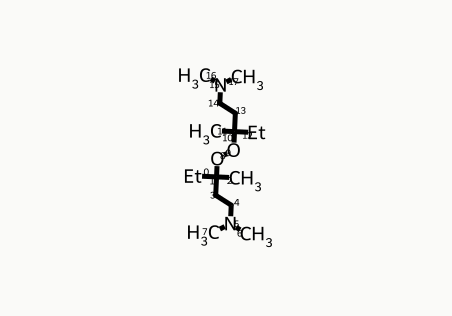 CCC(C)(CCN(C)C)OOC(C)(CC)CCN(C)C